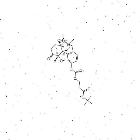 CN1CC[C@@]23c4c5ccc(OC(=O)OCCC(=O)OC(C)(C)C)c4O[C@@H]2C(=O)CC[C@]3(O)[C@@H]1C5